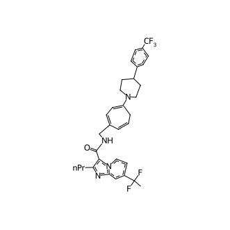 CCCc1nc2cc(C(C)(F)F)ccn2c1C(=O)NCC1=CC=C(N2CCC(c3ccc(C(F)(F)F)cc3)CC2)CC=C1